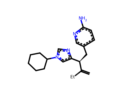 C=C(CC)[C@H](Cc1ccc(N)nc1)c1cn(C2CCCCC2)cn1